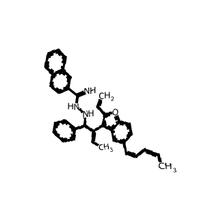 C=Cc1oc2ccc(/C=C\C=C/C)cc2c1/C(=C\C)C(NNC(=N)c1ccc2ccccc2c1)c1ccccc1